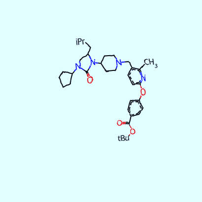 Cc1nc(Oc2ccc(C(=O)OC(C)(C)C)cc2)ccc1CN1CCC(N2C(=O)N(C3CCCC3)CC2CC(C)C)CC1